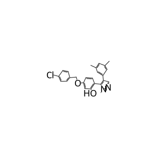 Cc1cc(C)cc(-c2cnn(C)c2-c2ccc(OCc3ccc(Cl)cc3)cc2O)c1